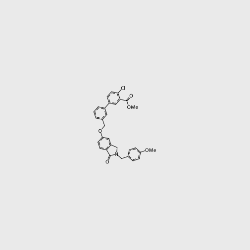 COC(=O)c1cc(-c2cccc(COc3ccc4c(c3)CN(Cc3ccc(OC)cc3)C4=O)c2)ccc1Cl